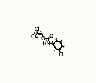 O=C(Nc1cccc(Cl)c1)OC=C(Cl)Cl